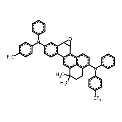 CC1(C)CCc2c(N(c3ccccc3)c3ccc(C(F)(F)F)cc3)ccc3c4c(cc1c23)-c1ccc(N(c2ccccc2)c2ccc(C(F)(F)F)cc2)cc1C1OC41